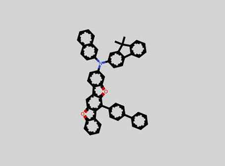 CC1(C)c2ccccc2-c2ccc(N(c3ccc4ccccc4c3)c3ccc4c(c3)oc3c(-c5ccc(-c6ccccc6)cc5)c5c(cc34)oc3ccccc35)cc21